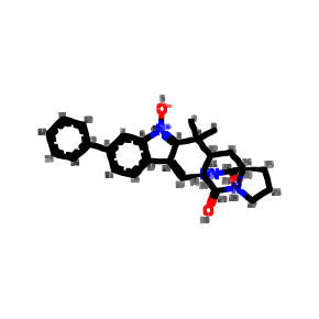 CC1(C)C2=[N+]([O-])c3cc(-c4ccccc4)ccc3C2=C[C@@]23NC(=O)[C@]4(CCCN4C2=O)CC13